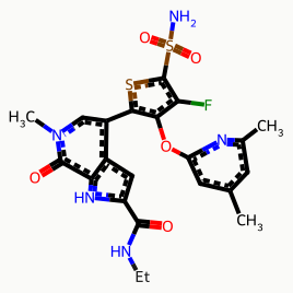 CCNC(=O)c1cc2c(-c3sc(S(N)(=O)=O)c(F)c3Oc3cc(C)cc(C)n3)cn(C)c(=O)c2[nH]1